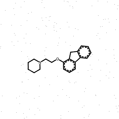 c1ccc2c(c1)Cc1c(OCCN3CCCCC3)cccc1-2